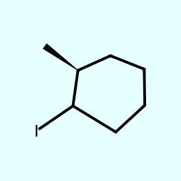 C[C@H]1CCCCC1I